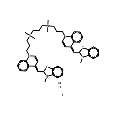 CN1c2ccccc2OC1C=C1C=CN(CCC[N+](C)(C)CCC[N+](C)(C)CCCN2C=CC(=CC3Oc4ccccc4N3C)c3ccccc32)c2ccccc21.I.I.[I-].[I-]